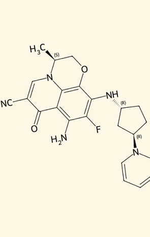 C[C@H]1COc2c(N[C@@H]3CC[C@@H](N4C=CC=CC4)C3)c(F)c(N)c3c(=O)c(C#N)cn1c23